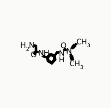 CC#CN(C#CC)C(=O)NCc1cccc(CNC(=O)CN)c1